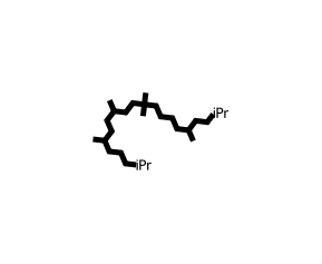 CC(C)CCCC(C)CCC(C)CCC(C)(C)CCCCC(C)CCC(C)C